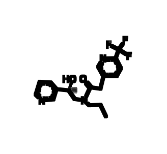 CCCN(C[C@@H](O)c1cccnc1)C(=O)Cc1ccc(C(F)(F)F)nc1